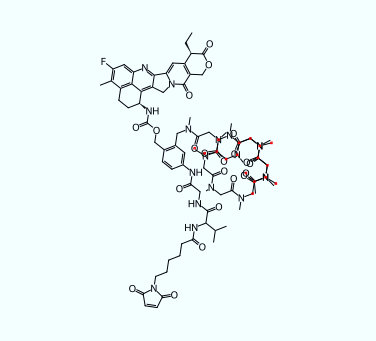 CC[C@H]1C(=O)OCc2c1cc1n(c2=O)Cc2c-1nc1cc(F)c(C)c3c1c2[C@@H](NC(=O)OCc1ccc(NC(=O)CNC(=O)C(NC(=O)CCCCCN2C(=O)C=CC2=O)C(C)C)cc1CN(C)C(=O)CN(C)C(=O)CN(C)C(=O)CN(C)C(=O)CN(C)C(=O)CN(C)C(=O)CN(C)C(=O)CN(C)C(=O)CN(C)C(=O)CN(C)C(=O)CN(C)C(C)=O)CC3